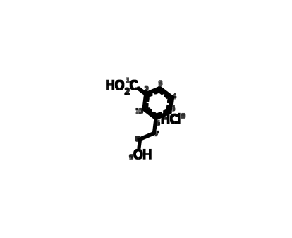 Cl.O=C(O)c1cccc(CCO)c1